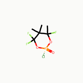 CC1(F)O[P@](=O)(Cl)OC(F)(F)C1(C)C